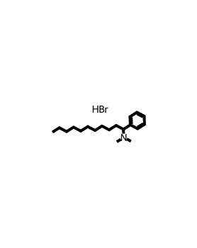 Br.CCCCCCCCCCC(c1ccccc1)N(C)C